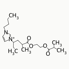 CCCCn1cc[n+](C(CC)CC(C)C(=O)OCCOC(=O)C(C)C)c1